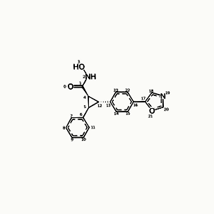 O=C(NO)[C@@H]1C(c2ccccc2)[C@H]1c1ccc(-c2cnco2)cc1